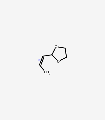 C/C=C\C1OCCO1